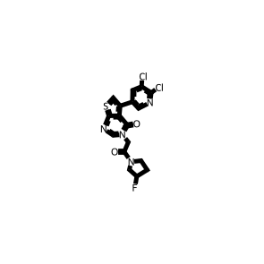 O=C(Cn1cnc2scc(-c3cnc(Cl)c(Cl)c3)c2c1=O)N1CCC(F)C1